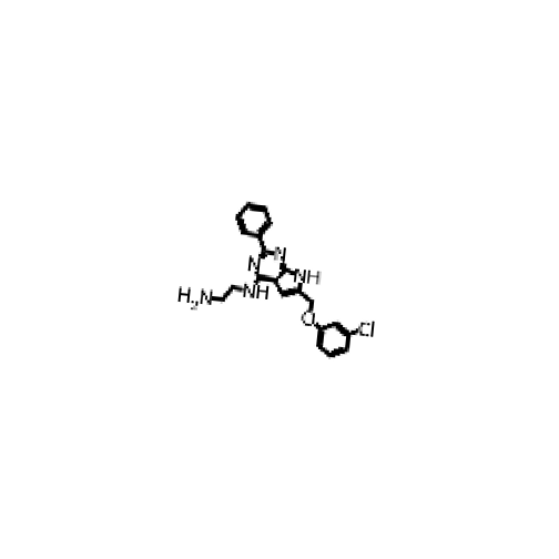 NCCNc1nc(-c2ccccc2)nc2[nH]c(COc3cccc(Cl)c3)cc12